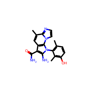 Cc1ccc(O)c(C)c1-n1c(N)c(C(N)=O)c2cc(C)c3nccn3c21